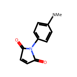 CNc1ccc(N2C(=O)C=CC2=O)cc1